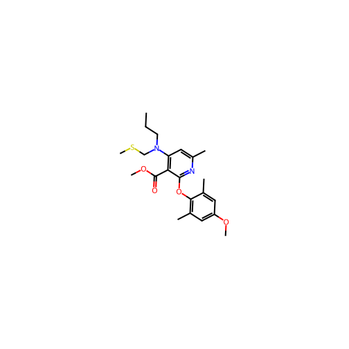 CCCN(CSC)c1cc(C)nc(Oc2c(C)cc(OC)cc2C)c1C(=O)OC